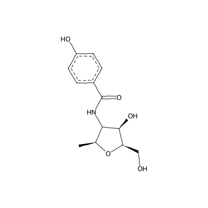 C[C@@H]1O[C@H](CO)[C@H](O)C1NC(=O)c1ccc(O)cc1